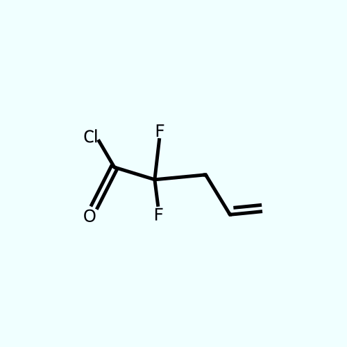 C=CCC(F)(F)C(=O)Cl